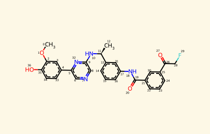 COc1cc(-c2cncc(N[C@@H](C)c3cccc(NC(=O)c4cccc(C(=O)CF)c4)c3)n2)ccc1O